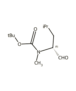 CC(C)C[C@H](C=O)N(C)C(=O)OC(C)(C)C